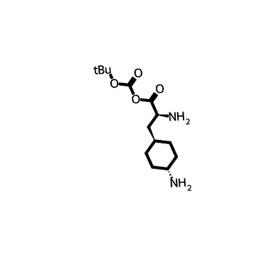 CC(C)(C)OC(=O)OC(=O)[C@@H](N)C[C@H]1CC[C@H](N)CC1